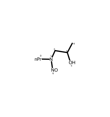 CCCN(CC(C)O)N=O